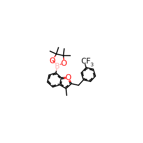 Cc1c(Cc2cccc(C(F)(F)F)c2)oc2c(B3OC(C)(C)C(C)(C)O3)cccc12